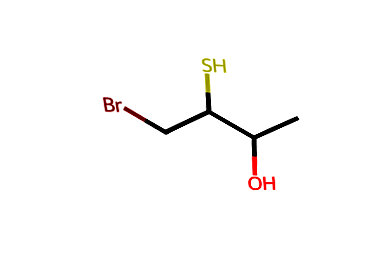 CC(O)C(S)CBr